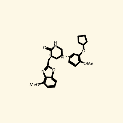 COc1ccc([C@H]2CNC(=O)[C@H](Cc3nc4c(OC)cccc4o3)C2)cc1OC1CCCC1